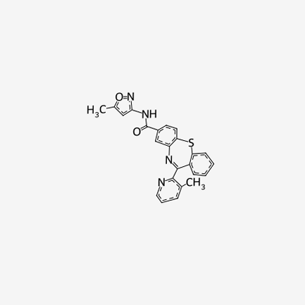 Cc1cc(NC(=O)c2ccc3c(c2)N=C(c2ncccc2C)c2ccccc2S3)no1